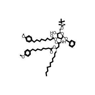 CCCCCCCCCCC[C@@H](CC(=O)N[C@H]1[C@H](OCc2ccccc2)O[C@H](CO[Si](C)(C)C(C)(C)C)[C@@H](O)[C@@H]1OC(=O)CCCCCCCc1ccc(OC)cc1)OC(=O)CCCCCCCc1ccc(OC)cc1